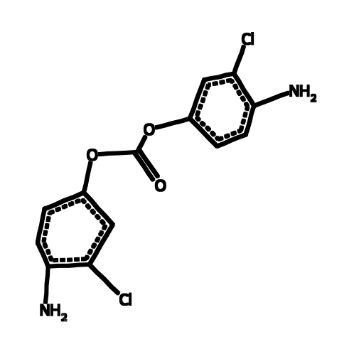 Nc1ccc(OC(=O)Oc2ccc(N)c(Cl)c2)cc1Cl